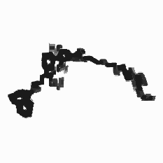 Cc1cc(C(=O)NCCOCCOCCNC(=O)OC(C)(C)C)cc(C)c1-c1cccc2c(CCCOc3cccc4ccccc34)c(C(=O)O)nn12